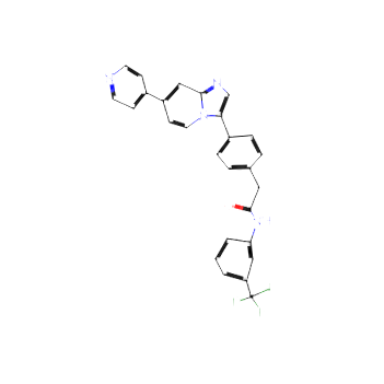 O=C(Cc1ccc(-c2cnc3cc(-c4ccncc4)ccn23)cc1)Nc1cccc(C(F)(F)F)c1